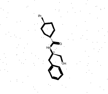 CC(C)[C@H]1CC[C@H](C(=O)N[C@@H](CO)Cc2ccccc2)CC1